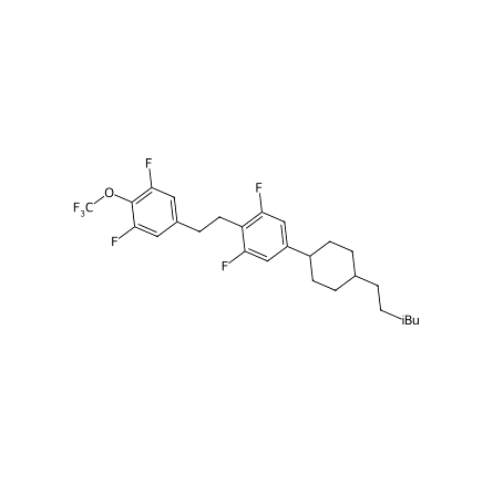 CCC(C)CCC1CCC(c2cc(F)c(CCc3cc(F)c(OC(F)(F)F)c(F)c3)c(F)c2)CC1